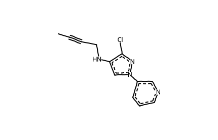 CC#CCNc1cn(-c2cccnc2)nc1Cl